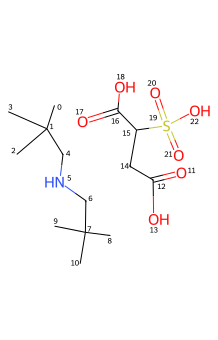 CC(C)(C)CNCC(C)(C)C.O=C(O)CC(C(=O)O)S(=O)(=O)O